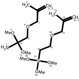 C=C(C)COCC([SiH3])(OC)OC.C=C(C)COCC[Si](OC)(OC)OC